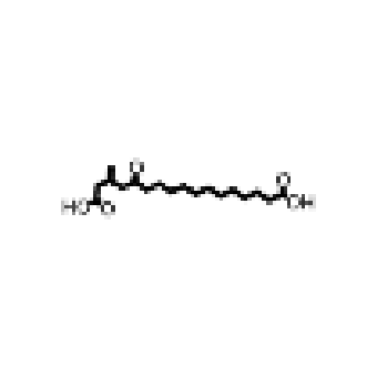 C=C(CC(=O)O)CC(=O)CCCCCCCCCCCC(=O)O